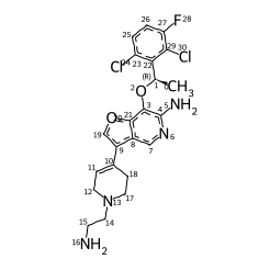 C[C@@H](Oc1c(N)ncc2c(C3=CCN(CCN)CC3)coc12)c1c(Cl)ccc(F)c1Cl